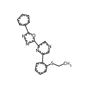 CCSc1ccccc1-c1cncc(-c2nnc(-c3ccccc3)o2)n1